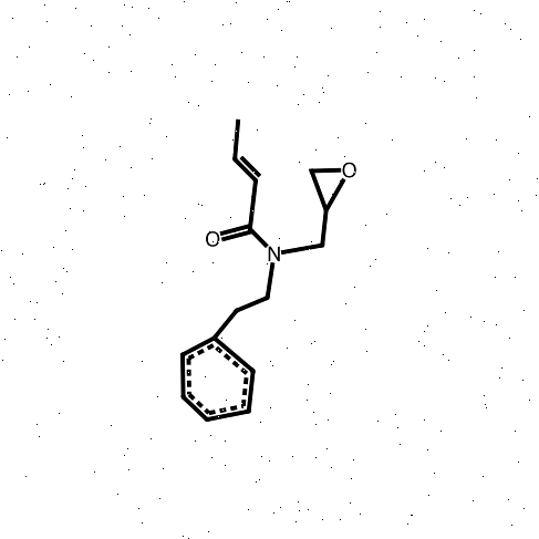 CC=CC(=O)N(CCc1ccccc1)CC1CO1